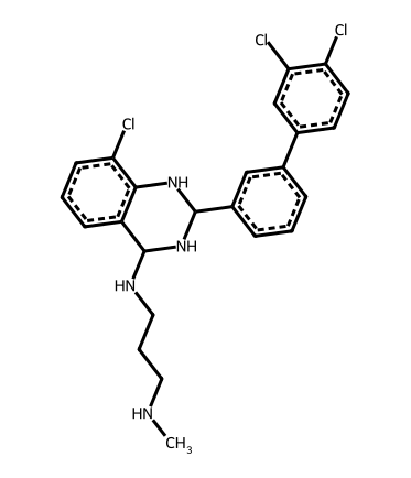 CNCCCNC1NC(c2cccc(-c3ccc(Cl)c(Cl)c3)c2)Nc2c(Cl)cccc21